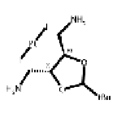 CC(C)(C)C1O[C@H](CN)[C@@H](CN)O1.[I][Pt][I]